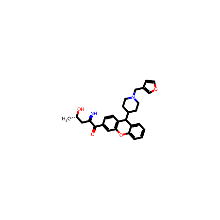 C[C@H](O)CC(=N)C(=O)c1ccc2c(c1)Oc1ccccc1C2C1CCN(Cc2ccoc2)CC1